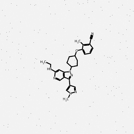 CCNc1cc2c(cn1)c(-c1cnn(C)c1)nn2C1CCC(Oc2cccc(C#N)c2C)CC1